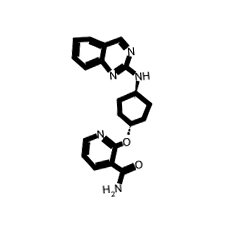 NC(=O)c1cccnc1O[C@H]1CC[C@H](Nc2ncc3ccccc3n2)CC1